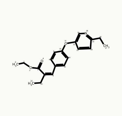 CCOC(=O)C(=Cc1ccc(Oc2ccc(CC)nc2)cc1)CC